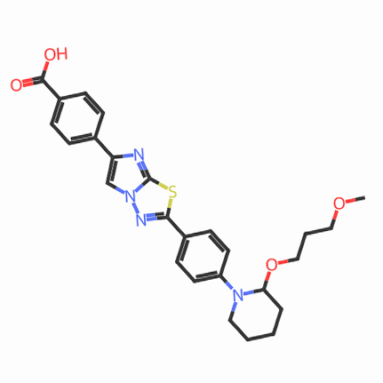 COCCCOC1CCCCN1c1ccc(-c2nn3cc(-c4ccc(C(=O)O)cc4)nc3s2)cc1